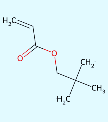 [CH2]C([CH2])(C)COC(=O)C=C